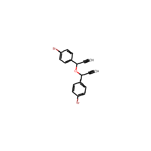 C#CC(OC(C#C)c1ccc(Br)cc1)c1ccc(Br)cc1